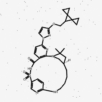 CC1(C)C[C@H]2CCCCNc3ccc(cn3)S(=O)(=O)NC(=O)c3ccc(-n4ccc(OCC5C6(CC6)C56CC6)n4)nc3N1C2